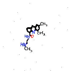 CNCCCNC(=O)c1cccc2cc3cc(C)cc(C)c3nc12